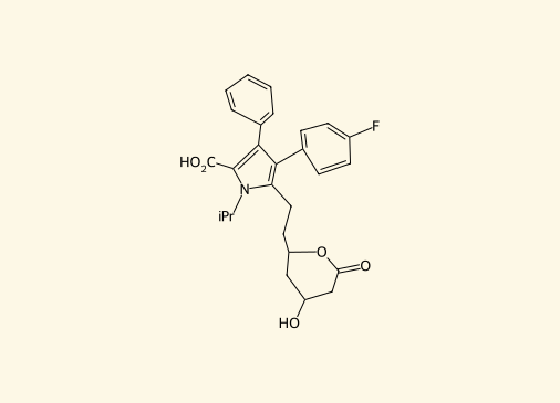 CC(C)n1c(CCC2CC(O)CC(=O)O2)c(-c2ccc(F)cc2)c(-c2ccccc2)c1C(=O)O